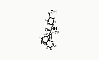 Cl.O=C(Nc1ccc(CO)cc1)Nc1ccnc2ccccc12